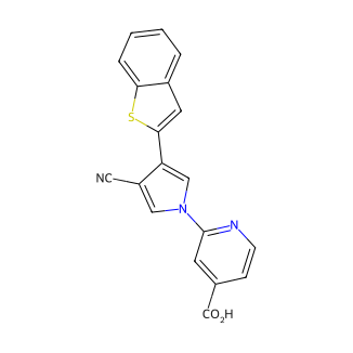 N#Cc1cn(-c2cc(C(=O)O)ccn2)cc1-c1cc2ccccc2s1